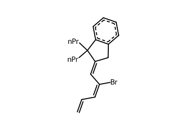 C=C/C=C(Br)\C=C1/Cc2ccccc2C1(CCC)CCC